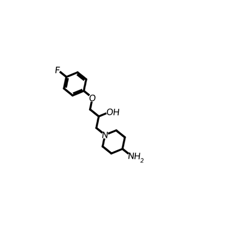 NC1CCN(CC(O)COc2ccc(F)cc2)CC1